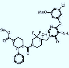 COc1cc(Cl)cc(Oc2ncn(C[C@@]3(O)CCN(C(=O)[C@@H]4CCN(C(=O)OC(C)(C)C)C[C@H]4c4ccccc4)CC3(F)F)c(=O)c2N)c1